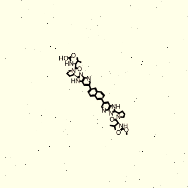 COC(=O)N[C@H](C(=O)N1CCCC1c1nc2ncc(-c3ccc4cc(-c5cnc6nc([C@H]7CCCN7C(=O)[C@@H](NC(=O)O)C(C)C)[nH]c6c5)ccc4c3)cc2[nH]1)C(C)C